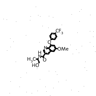 COc1cc(Oc2ccc(C(F)(F)F)cc2)c2ncc(C(=O)NC(C)CO)cc2c1